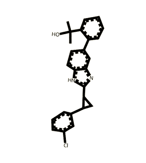 CC(C)(O)c1ccccc1-c1ccc2[nH]c(C3CC3c3cccc(Cl)c3)nc2c1